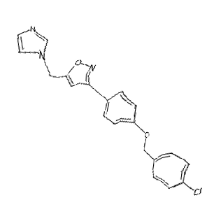 Clc1ccc(COc2ccc(-c3cc(Cn4ccnc4)on3)cc2)cc1